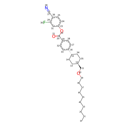 CCCCCCCCCCOC[C@H]1CC[C@H](c2ccc(C(=O)Oc3ccc(C#N)c(F)c3)cc2)CC1